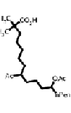 CCCCCC(CCCC(CCCCCC(C)(C)C(=O)O)C(C)=O)OC(C)=O